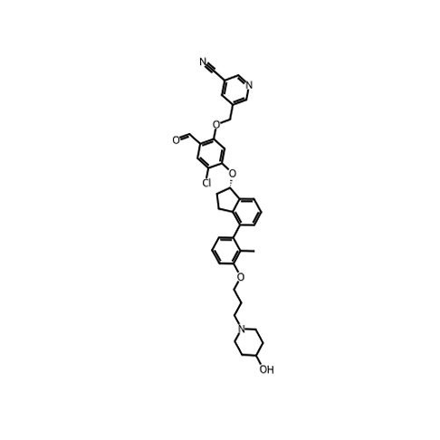 Cc1c(OCCCN2CCC(O)CC2)cccc1-c1cccc2c1CC[C@@H]2Oc1cc(OCc2cncc(C#N)c2)c(C=O)cc1Cl